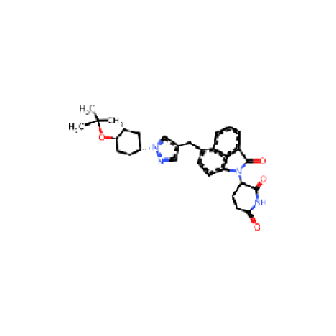 CC(C)(C)O[C@H]1CC[C@H](n2cc(Cc3ccc4c5c(cccc35)C(=O)N4C3CCC(=O)NC3=O)cn2)CC1